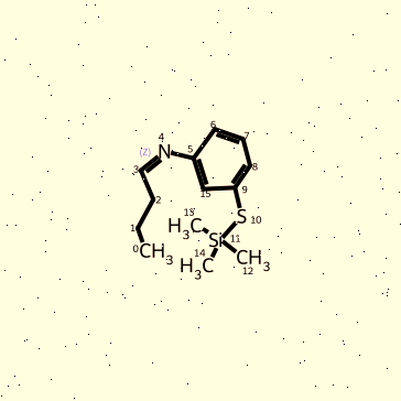 CCC/C=N\c1cccc(S[Si](C)(C)C)c1